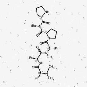 CC(C)[C@H](NC(=O)[C@H](C(C)C)N(C)C)C(=O)N(C)[C@H](C(=O)N1CCC[C@H]1C(=O)N(C(=O)[C@@H]1CCCN1)C(C)(C)C)C(C)C